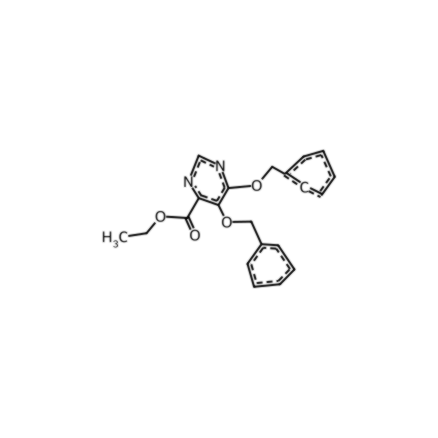 CCOC(=O)c1ncnc(OCc2ccccc2)c1OCc1ccccc1